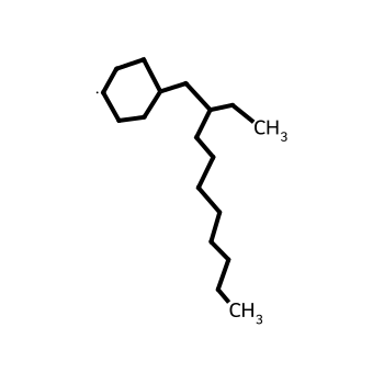 CCCCCCCCC(CC)CC1CC[CH]CC1